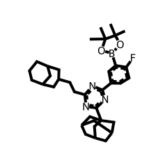 CC1(C)OB(c2cc(-c3nc(CCC4CC5CCCC(C5)C4)nc(C45CC6CC(CC(C6)C4)C5)n3)ccc2F)OC1(C)C